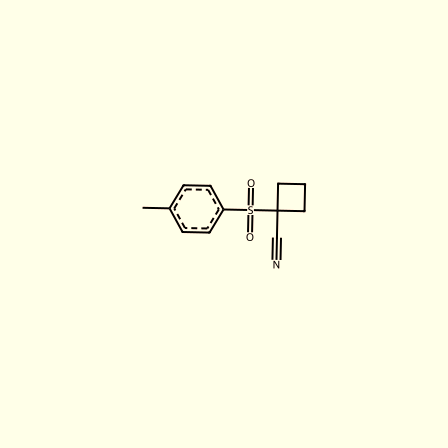 Cc1ccc(S(=O)(=O)C2(C#N)CCC2)cc1